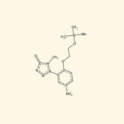 Cn1c(=O)nnn1-c1cc([N+](=O)[O-])ccc1OCCO[Si](C)(C)C(C)(C)C